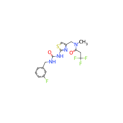 CN(Cc1csc(NC(=O)NCc2cccc(F)c2)n1)C(=O)CC(F)(F)F